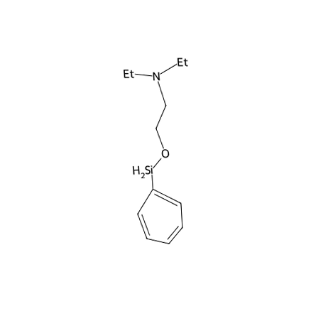 CCN(CC)CCO[SiH2]c1ccccc1